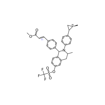 COC(=O)/C=C/c1ccc(C2c3ccc(OS(=O)(=O)C(F)(F)F)cc3CC(C)N2c2ccc(C3C[C@H]3C)cc2)cc1